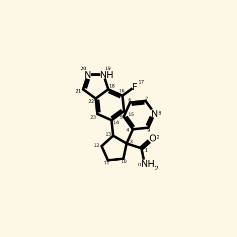 NC(=O)C1(c2cccnc2)CCCC1c1cc(F)c2[nH]ncc2c1